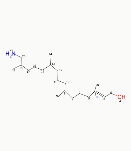 C/C(=C\CO)CCCC(C)CCCC(C)CCCC(C)CN